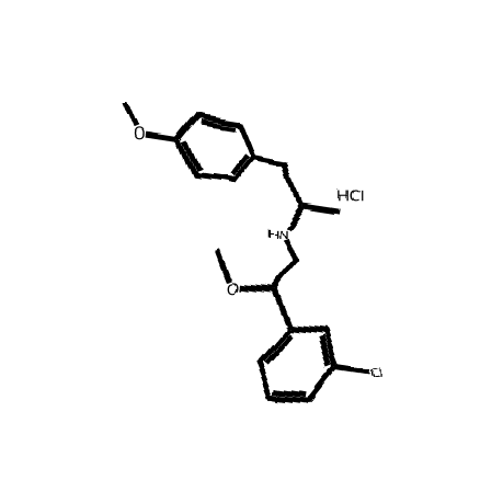 COc1ccc(CC(C)NCC(OC)c2cccc(Cl)c2)cc1.Cl